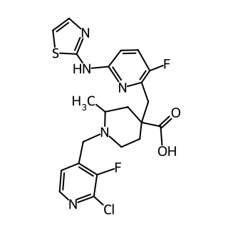 CC1CC(Cc2nc(Nc3nccs3)ccc2F)(C(=O)O)CCN1Cc1ccnc(Cl)c1F